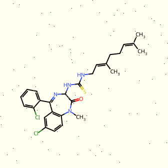 CC(C)=CCC/C(C)=C/CNC(=S)NC1N=C(c2ccccc2Cl)c2cc(Cl)ccc2N(C)C1=O